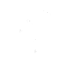 CCCC([O])c1ccc(Br)cc1Br